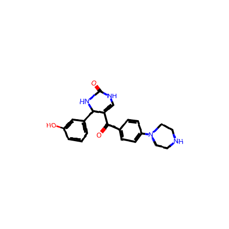 O=C1NC=C(C(=O)c2ccc(N3CCNCC3)cc2)C(c2cccc(O)c2)N1